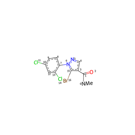 CNC(=O)c1cnn(-c2ccc(Cl)cc2Cl)c1Br